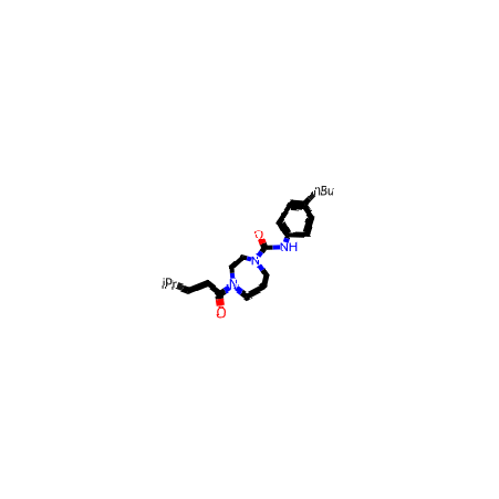 CCCCc1ccc(NC(=O)N2CCCN(C(=O)CCC(C)C)CC2)cc1